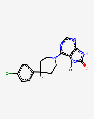 CCn1c(=O)[nH]c2ncnc(N3CCC(CC)(c4ccc(Cl)cc4)CC3)c21